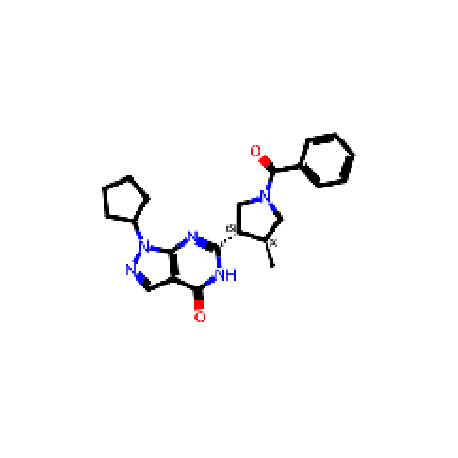 C[C@@H]1CN(C(=O)c2ccccc2)C[C@H]1c1nc2c(cnn2C2CCCC2)c(=O)[nH]1